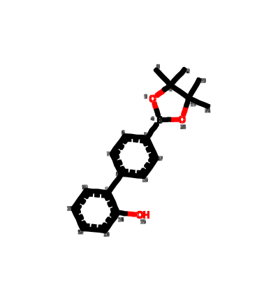 CC1(C)OB(c2ccc(-c3ccccc3O)cc2)OC1(C)C